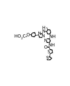 Cc1ccc(Nc2cncc(NC(=O)c3ccc(-c4cccs4)s3)c2)cc1Nc1nccc(-c2ccc(OCC(=O)O)cc2)n1